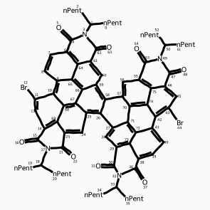 CCCCCC(CCCCC)n1c(=O)c2ccc3c4c(Br)cc5c(=O)n(C(CCCCC)CCCCC)c(=O)c6cc7c8c9cc%10c(=O)n(C(CCCCC)CCCCC)c(=O)c%11ccc%12c%13c(Br)cc%14c(=O)n(C(CCCCC)CCCCC)c(=O)c%15cc(c8c8cc(c1=O)c2c3c8c7c4c56)c(c9c%12c%11%10)c%13c%14%15